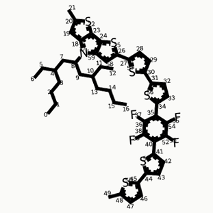 CCCCC(CC)CC(CC(CC)CCCC)n1c2cc(C)sc2c2sc(-c3ccc(-c4ccc(-c5c(F)c(F)c(-c6ccc(-c7ccc(C)s7)s6)c(F)c5F)s4)s3)cc21